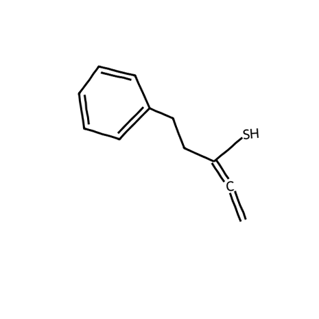 C=C=C(S)CCc1ccccc1